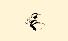 CC1CCC(C)N1[C]1CNCCN1C